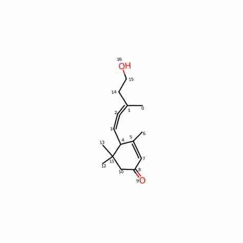 CC(=C=CC1C(C)=CC(=O)CC1(C)C)CCO